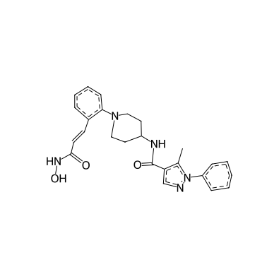 Cc1c(C(=O)NC2CCN(c3ccccc3C=CC(=O)NO)CC2)cnn1-c1ccccc1